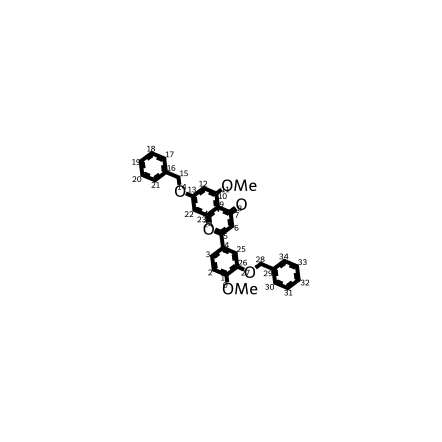 COc1ccc(-c2cc(=O)c3c(OC)cc(OCc4ccccc4)cc3o2)cc1OCc1ccccc1